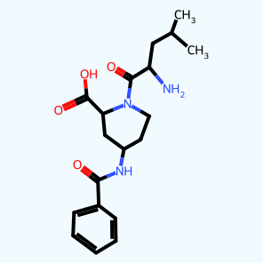 CC(C)CC(N)C(=O)N1CCC(NC(=O)c2ccccc2)CC1C(=O)O